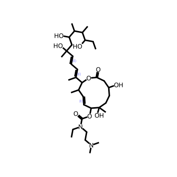 CCC(O)C(C)C(C)C(O)CC(C)(O)/C=C/C=C(\C)C1OC(=O)CC(O)CCC(C)(O)C(OC(=O)N(CC)CCN(C)C)/C=C/C1C